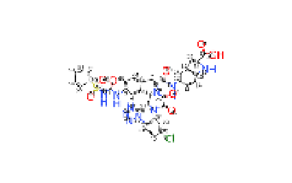 O=C(Nc1ccc(CC(C(=O)Nc2ccc3[nH]c(C(=O)O)cc3c2)N2CCN(c3cc(Cl)ccc3-n3cnnn3)C(=O)C2=O)cc1)NS(=O)(=O)c1ccccc1